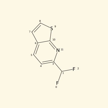 FC(F)c1ccc2ccsc2n1